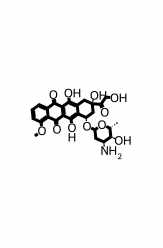 COc1cccc2c1C(=O)c1c(O)c3c(c(O)c1C2=O)C[C@@](O)(C(=O)CO)C[C@@H]3OC1C[C@@H](N)[C@@H](O)[C@@H](C)O1